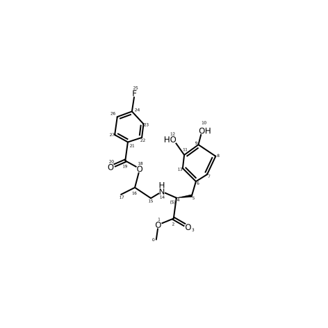 COC(=O)[C@H](Cc1ccc(O)c(O)c1)NCC(C)OC(=O)c1ccc(F)cc1